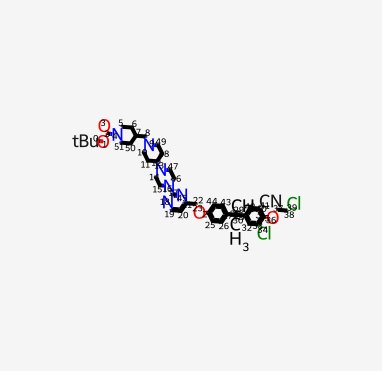 CC(C)(C)OC(=O)N1CCC(CN2CCC(N3CCN(c4nccc(COc5ccc(C(C)(C)c6cc(Cl)c(OCCCl)c(C#N)c6)cc5)n4)CC3)CC2)CC1